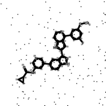 COc1cc(F)cc(-c2nccc3[nH]c(-c4n[nH]c5ccc(-c6cncc(NC(=O)C7CC7)c6)cc45)cc23)c1